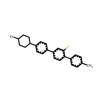 CCC1CCC(c2ccc(-c3ccc(-c4ccc(C)cc4)c(F)c3)cc2)CC1